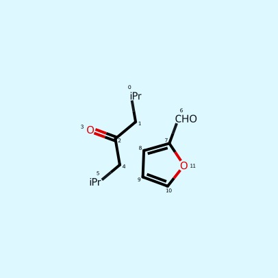 CC(C)CC(=O)CC(C)C.O=Cc1ccco1